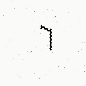 CCCCCCCCCCCC(C)CCCC[C](C)C